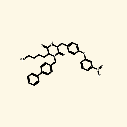 NCCCCC1C(=O)NC(Cc2ccc(Oc3cccc([N+](=O)[O-])c3)cc2)C(=O)N1Cc1ccc(-c2ccccc2)cc1